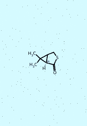 CC1(C)C2CSC(=O)[C@H]21